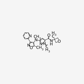 Cc1onc(-c2ccccn2)c1N(C)c1cc(C(=O)NC2(C)COC2)n(C)n1